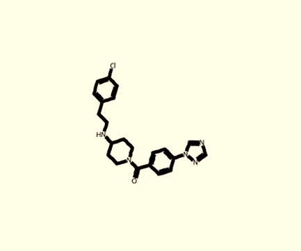 O=C(c1ccc(-n2cncn2)cc1)N1CCC(NCCc2ccc(Cl)cc2)CC1